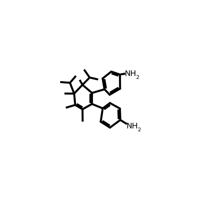 CC1=C(C)C(C)(C(C)C)C(C)(C(C)C)C(c2ccc(N)cc2)=C1c1ccc(N)cc1